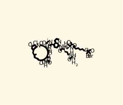 COc1cc2cc(c1Cl)N(C)C(=O)C[C@H](OC(=O)[C@H](C)N(C)C(=O)c1ccc(NC(=O)[C@H](CCCNC(N)=O)NC[C@](C=O)(NC(=O)CCCCCOC(C=O)(CBr)CBr)C(C)C)c3ncccc13)[C@]1(C)O[C@H]1[C@H](C)[C@@H]1C[C@@](O)(NC(=O)O1)[C@H](OC)/C=C/C=C(\C)C2